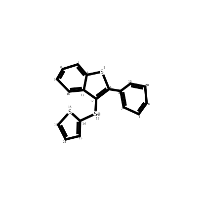 c1ccc(-c2sc3ccccc3c2[Se]c2cccs2)cc1